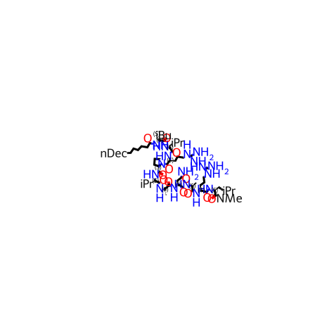 CCCCCCCCCCCCCCCC(=O)N[C@H](C(=O)N[C@H](C(=O)N[C@@H](CCCNC(=N)N)C(=O)N1CCC[C@H]1C(=O)N[C@H](C(=O)N[C@@H](C)C(=O)N[C@@H](CC(N)=O)C(=O)N[C@@H](C)C(=O)N[C@@H](CCCNC(=N)N)C(=O)N[C@@H](CC(C)C)C(=O)NC)C(C)C)C(C)C)[C@@H](C)CC